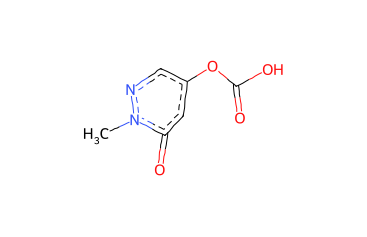 Cn1ncc(OC(=O)O)cc1=O